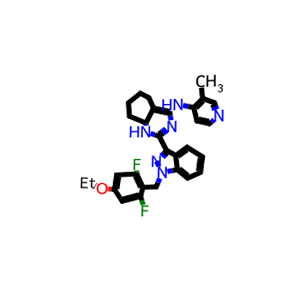 CCOc1cc(F)c(Cn2nc(C3=NC(Nc4ccncc4C)=C4CCCCC4N3)c3ccccc32)c(F)c1